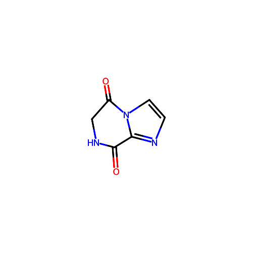 O=C1NCC(=O)n2ccnc21